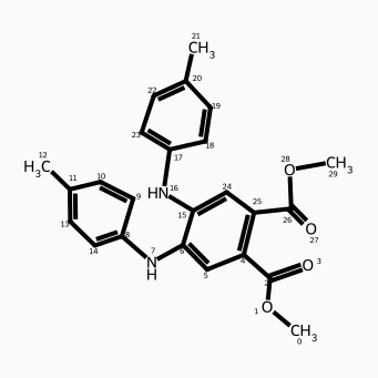 COC(=O)c1cc(Nc2ccc(C)cc2)c(Nc2ccc(C)cc2)cc1C(=O)OC